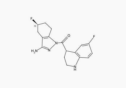 Nc1nn(C(=O)C2CCNc3ccc(F)cc32)c2c1C[C@@H](F)CC2